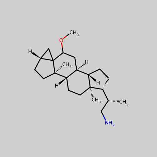 COC1C[C@H]2[C@@H]3CC[C@H]([C@H](C)CN)[C@@]3(C)CC[C@@H]2[C@@]2(C)CC[C@@H]3CC132